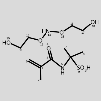 C=C(C)C(=O)NC(C)(C)S(=O)(=O)O.OCCONOCCO